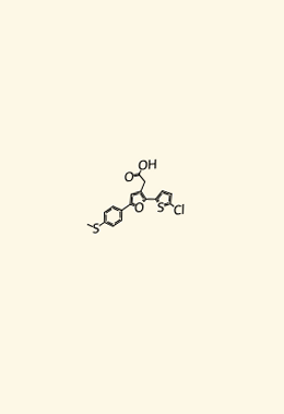 CSc1ccc(-c2cc(CC(=O)O)c(-c3ccc(Cl)s3)o2)cc1